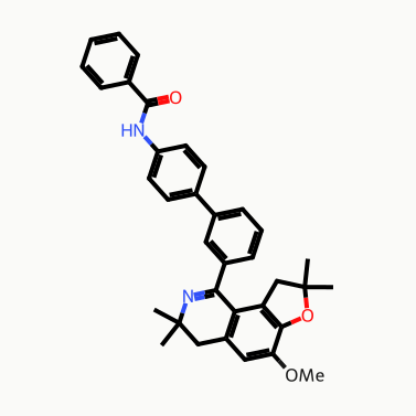 COc1cc2c(c3c1OC(C)(C)C3)C(c1cccc(-c3ccc(NC(=O)c4ccccc4)cc3)c1)=NC(C)(C)C2